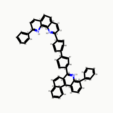 c1ccc(-c2ccc3ccc4ccc(-c5ccc(-c6ccc(-c7nc8c(-c9ccccc9)cccc8c8c7ccc7ccccc78)cc6)cc5)nc4c3n2)cc1